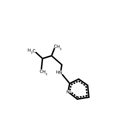 CC(C)C(C)CNc1ccccn1